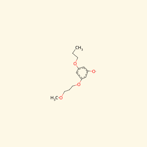 CCCOc1cc([O])cc(OCCCOC)c1